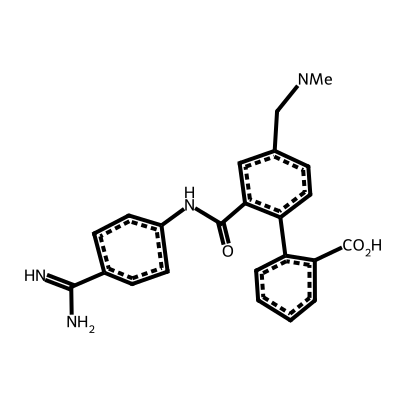 CNCc1ccc(-c2ccccc2C(=O)O)c(C(=O)Nc2ccc(C(=N)N)cc2)c1